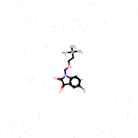 C[Si](C)(C)CCOCN1C(=O)C(=O)c2cc(Br)ccc21